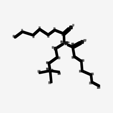 CCCCCCC(=O)[PH-](OCC[N+](C)(C)C)C(=O)CCCCCC